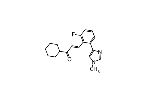 Cn1cnc(-c2cccc(F)c2/C=C/C(=O)C2CCCCC2)c1